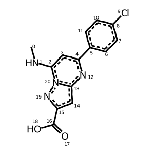 CNc1cc(-c2ccc(Cl)cc2)nc2cc(C(=O)O)nn12